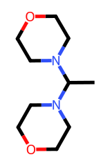 CC(N1CCOCC1)N1CCOCC1